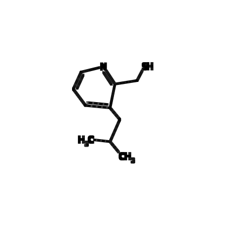 CC(C)Cc1cccnc1CS